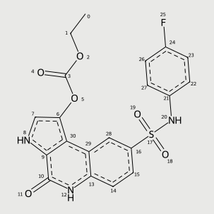 CCOC(=O)Oc1c[nH]c2c(=O)[nH]c3ccc(S(=O)(=O)Nc4ccc(F)cc4)cc3c12